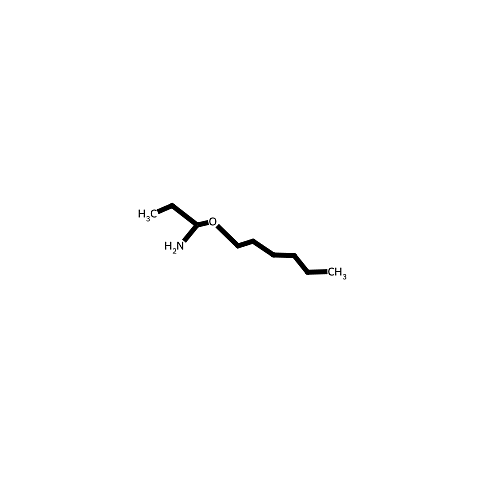 CCCCCCOC(N)CC